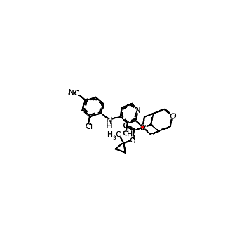 Cc1c(Nc2ccc(C#N)cc2Cl)ccnc1OC1C2COCC1CN(C(=O)OC1(C)CC1)C2